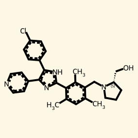 Cc1cc(C)c(-c2nc(-c3ccncc3)c(-c3ccc(Cl)cc3)[nH]2)c(C)c1CN1CCC[C@H]1CO